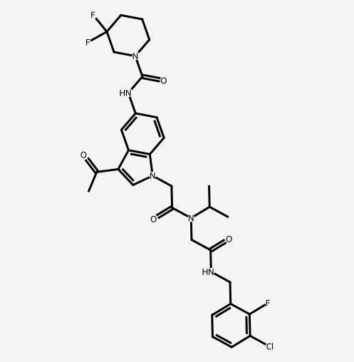 CC(=O)c1cn(CC(=O)N(CC(=O)NCc2cccc(Cl)c2F)C(C)C)c2ccc(NC(=O)N3CCCC(F)(F)C3)cc12